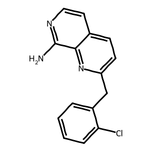 Nc1nccc2ccc(Cc3ccccc3Cl)nc12